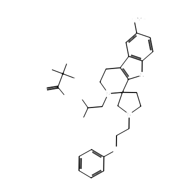 COc1ccc2[nH]c3c(c2c1)CCN(CC(C)O)C31CCN(CCOc2ccccc2)C1.O=C(O)C(F)(F)F